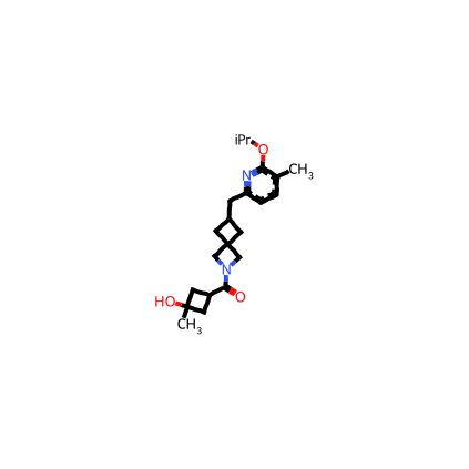 Cc1ccc(CC2CC3(C2)CN(C(=O)C2CC(C)(O)C2)C3)nc1OC(C)C